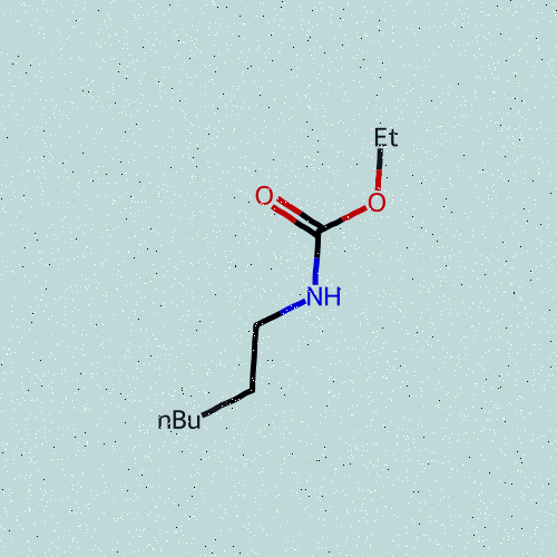 [CH2]COC(=O)NCCCCCC